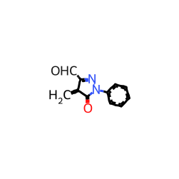 C=C1C(=O)N(c2ccccc2)N=C1C=O